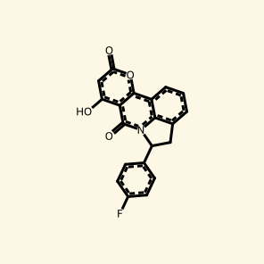 O=c1cc(O)c2c(=O)n3c4c(cccc4c2o1)CC3c1ccc(F)cc1